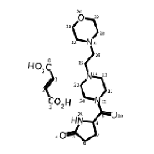 O=C(O)C=CC(=O)O.O=C1CCC(C(=O)N2CCN(CCN3CCOCC3)CC2)N1